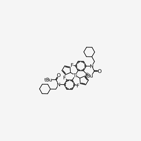 CC(C)(C)C(=O)N(CC1CCCCC1)c1ccc(F)[c]([Ti]([c]2c(F)ccc(N(CC3CCCCC3)C(=O)C(C)(C)C)c2F)([CH]2C=CC=C2)[CH]2C=CC=C2)c1F